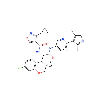 CC1=NCC(C)=C1c1ncc(NC(=O)[C@@H](NC(=O)c2conc2C2CC2)C2c3ccc(F)cc3OCC23CC3)cc1F